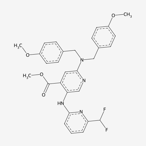 COC(=O)c1cc(N(Cc2ccc(OC)cc2)Cc2ccc(OC)cc2)ncc1Nc1cccc(C(F)F)n1